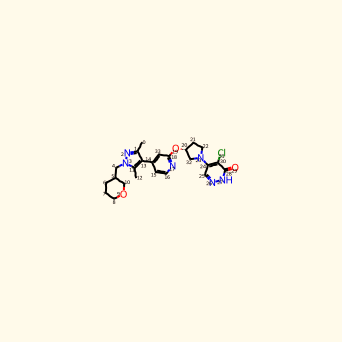 Cc1nn(CC2CCCOC2)c(C)c1-c1ccnc(O[C@@H]2CCN(c3cn[nH]c(=O)c3Cl)C2)c1